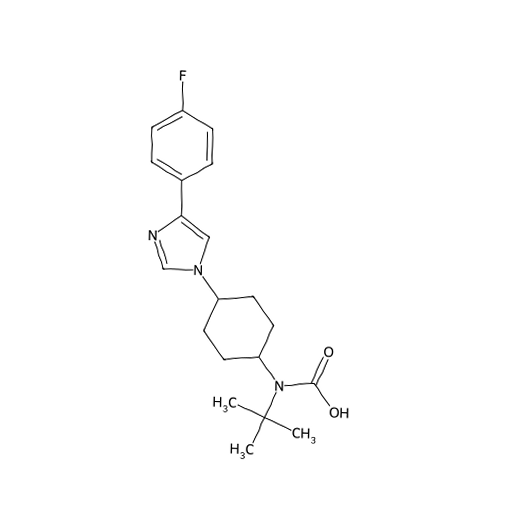 CC(C)(C)N(C(=O)O)C1CCC(n2cnc(-c3ccc(F)cc3)c2)CC1